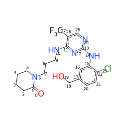 O=C1CCCCN1CCCNc1nc(Nc2cc(CO)ccc2Cl)ncc1C(F)(F)F